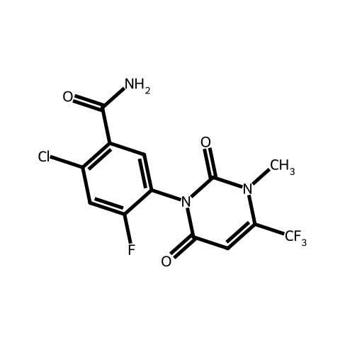 Cn1c(C(F)(F)F)cc(=O)n(-c2cc(C(N)=O)c(Cl)cc2F)c1=O